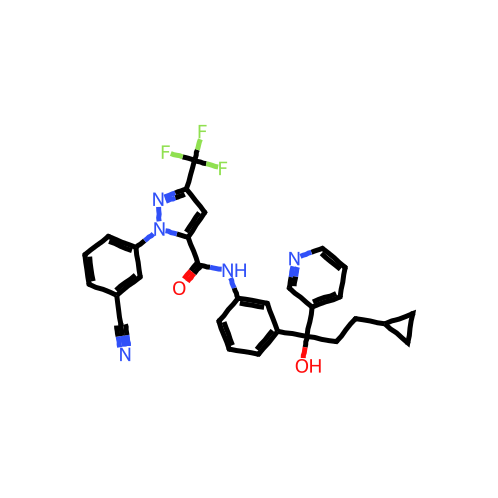 N#Cc1cccc(-n2nc(C(F)(F)F)cc2C(=O)Nc2cccc(C(O)(CCC3CC3)c3cccnc3)c2)c1